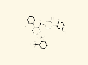 Cc1ccccc1C1CCN(S(=O)(=O)c2ccccc2C(F)(F)F)CC1C(=O)N1CCN(c2cc(Cl)ccc2C)CC1